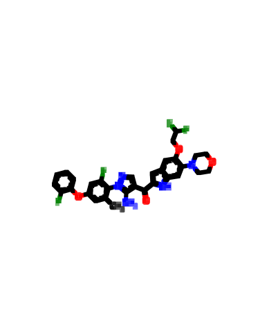 Cc1cc(Oc2ccccc2F)cc(F)c1-n1ncc(C(=O)c2cc3cc(OCC(F)F)c(N4CCOCC4)cc3[nH]2)c1N